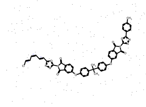 Cc1ccc(-c2nnc(N3C(=O)c4ccc(Oc5ccc(C(C)(C)c6ccc(Oc7ccc8c(c7)C(=O)N(c7nnc(/C=C/C=C\C=C\Cl)o7)C8=O)cc6)cc5)cc4C3=O)o2)cc1